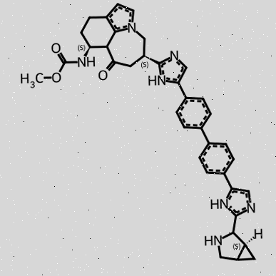 COC(=O)N[C@H]1CCc2ccn3c2C1C(=O)C[C@H](c1ncc(-c2ccc(-c4ccc(-c5cnc(C6NCC7C[C@@H]76)[nH]5)cc4)cc2)[nH]1)C3